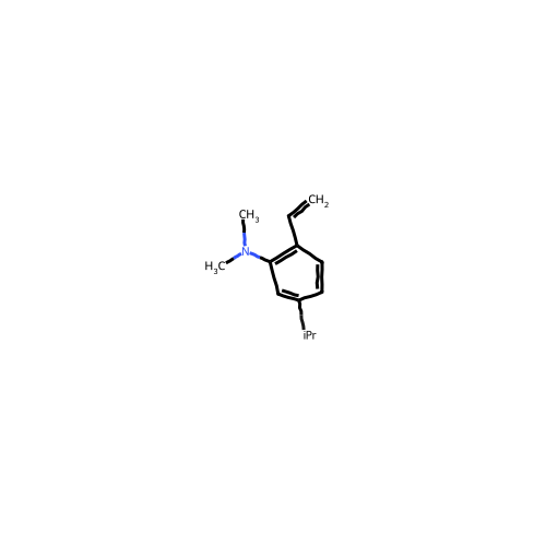 C=Cc1ccc(C(C)C)cc1N(C)C